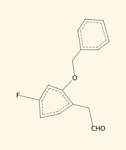 O=CCc1ccc(F)cc1OCc1ccccc1